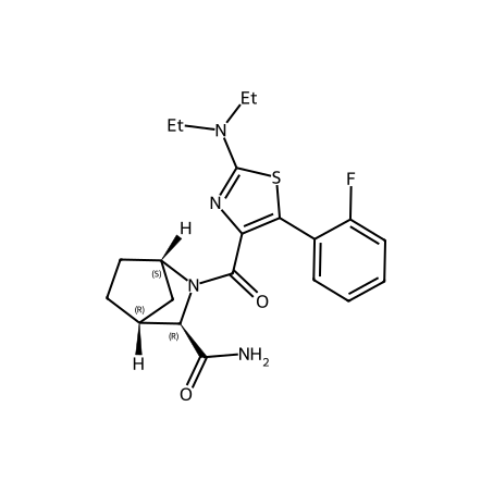 CCN(CC)c1nc(C(=O)N2[C@H]3CC[C@H](C3)[C@@H]2C(N)=O)c(-c2ccccc2F)s1